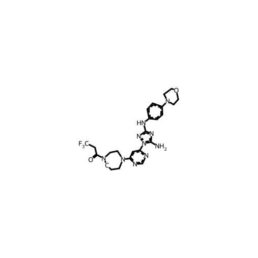 Nc1nc(Nc2ccc(N3CCOCC3)cc2)nn1-c1cc(N2CCCN(C(=O)CC(F)(F)F)CC2)ncn1